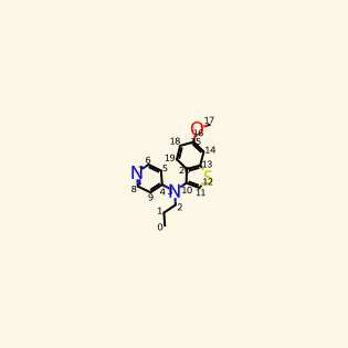 CCCN(c1ccncc1)c1csc2cc(OC)ccc12